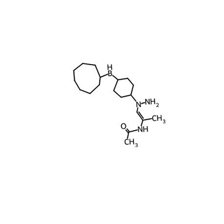 CC(=O)N/C(C)=C/N(N)C1CCC(BC2CCCCCCC2)CC1